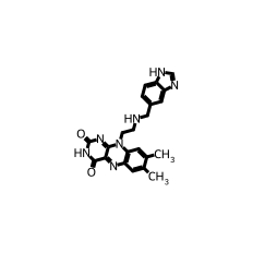 Cc1cc2nc3c(=O)[nH]c(=O)nc-3n(CCNCc3ccc4[nH]cnc4c3)c2cc1C